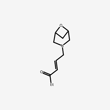 CCC(=O)/C=C/CN1CC2CC(C1)O2